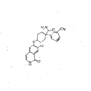 CCC(N)C1(c2cccc(C#N)c2)CCC(Oc2cc3cc[nH]c(=O)c3cc2Cl)CC1